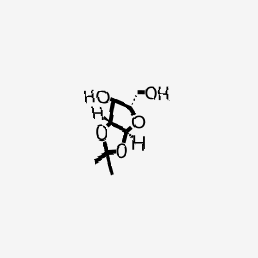 CC1(C)O[C@@H]2O[C@@H](CO)[C@H](O)[C@H]2O1